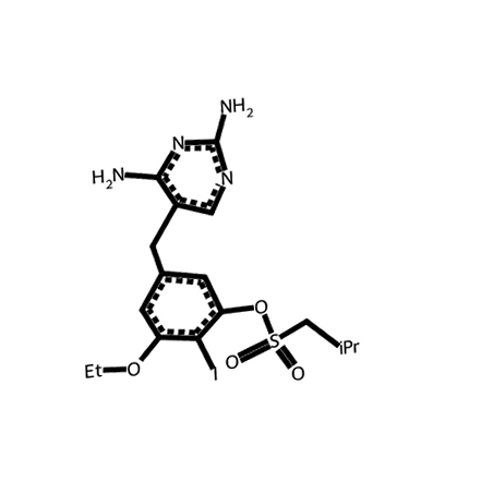 CCOc1cc(Cc2cnc(N)nc2N)cc(OS(=O)(=O)CC(C)C)c1I